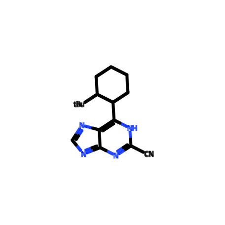 CC(C)(C)C1CCCC[C]1c1[nH]c(C#N)nc2ncnc1-2